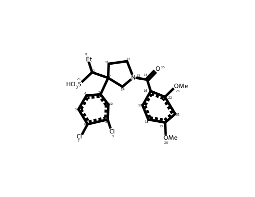 CCC(C1(c2ccc(Cl)c(Cl)c2)CCN(C(=O)c2ccc(OC)cc2OC)C1)S(=O)(=O)O